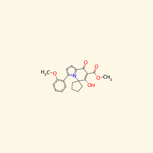 COC(=O)C1=C(O)C2(CCCC2)n2c(ccc2-c2ccccc2OC)C1=O